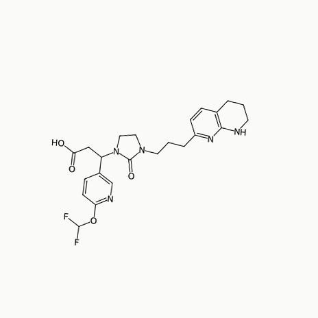 O=C(O)CC(c1ccc(OC(F)F)nc1)N1CCN(CCCc2ccc3c(n2)NCCC3)C1=O